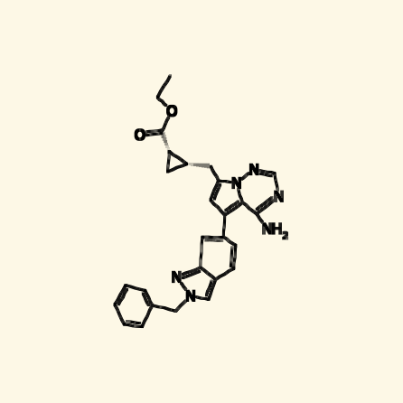 CCOC(=O)[C@H]1C[C@H]1Cc1cc(-c2ccc3cn(Cc4ccccc4)nc3c2)c2c(N)ncnn12